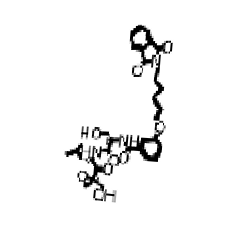 CC(C)C[C@H](NC(=O)[C@H](CO)NC(=O)c1cccc(OCCCCCCN2C(=O)c3ccccc3C2=O)c1)C(=O)[C@]1(CO)CO1